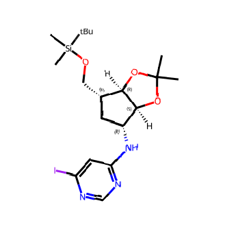 CC1(C)O[C@@H]2[C@@H](CO[Si](C)(C)C(C)(C)C)C[C@@H](Nc3cc(I)ncn3)[C@@H]2O1